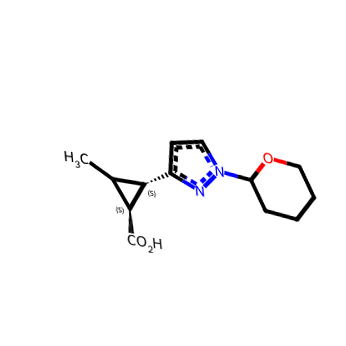 CC1[C@H](C(=O)O)[C@H]1c1ccn(C2CCCCO2)n1